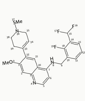 COc1cc2nccc(NCc3cccc(C(F)F)c3F)c2cc1C1=CCN(SC)CC1